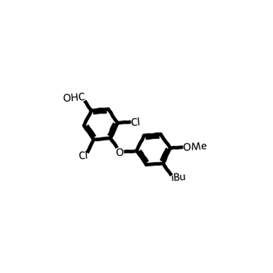 CCC(C)c1cc(Oc2c(Cl)cc(C=O)cc2Cl)ccc1OC